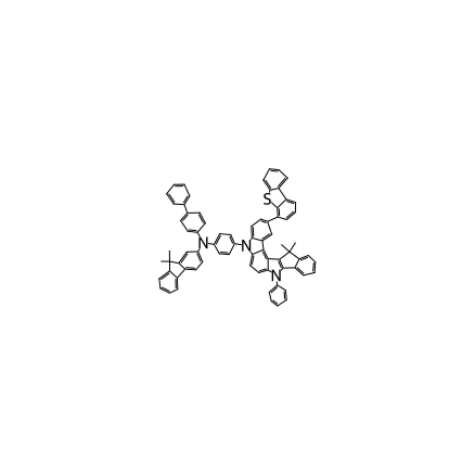 CC1(C)c2ccccc2-c2ccc(N(c3ccc(-c4ccccc4)cc3)c3ccc(-n4c5ccc(-c6cccc7c6sc6ccccc67)cc5c5c6c7c(n(-c8ccccc8)c6ccc54)-c4ccccc4C7(C)C)cc3)cc21